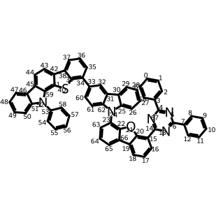 c1ccc(-c2nc(-c3ccccc3)nc(-c3cccc4c3oc3c(-n5c6ccccc6c6cc(-c7cccc8c7sc7c8ccc8c9ccccc9n(-c9ccccc9)c87)ccc65)cccc34)n2)cc1